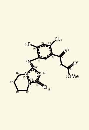 COC(=O)CC(=S)c1cc(N=c2sc(=O)n3n2CCCC3)c(F)cc1Cl